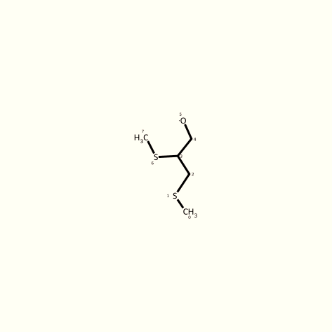 CSCC(C[O])SC